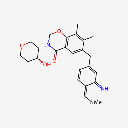 CN/C=C1/C=CC(Cc2cc3c(c(C)c2C)OCN([C@H]2COCC[C@@H]2O)C3=O)=CC1=N